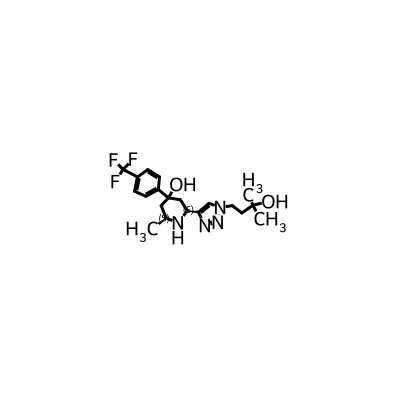 C[C@H]1CC(O)(c2ccc(C(F)(F)F)cc2)C[C@@H](c2cn(CCC(C)(C)O)nn2)N1